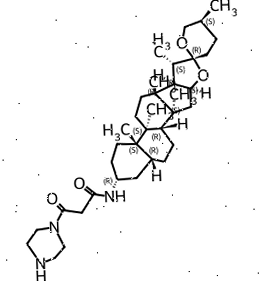 C[C@H]1CC[C@@]2(OC1)O[C@H]1C[C@@]3(C)[C@@H]4CC[C@@H]5C[C@H](NC(=O)CC(=O)N6CCNCC6)CC[C@]5(C)[C@@]4(C)CC[C@]3(C)[C@H]1[C@@H]2C